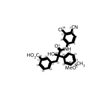 COC.N#Cc1ccc(NC(=O)C(O)(Cc2cccc(C(=O)O)c2)c2ccccc2)cc1Cl